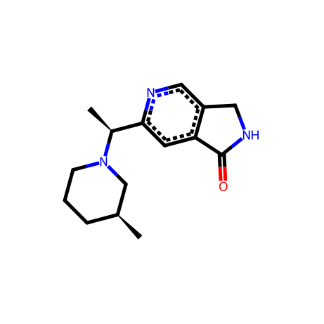 C[C@H]1CCCN([C@@H](C)c2cc3c(cn2)CNC3=O)C1